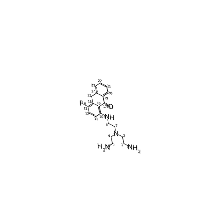 NCCN(CCN)CCNc1ccc(F)c2c1C(=O)c1ccccc1C2